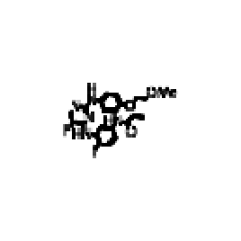 C=CC(=O)Nc1ccc(I)c(Nc2nc(Nc3ccc(OCCOC)cc3)ncc2F)c1